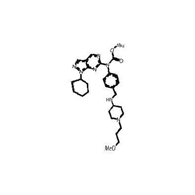 COCCCN1CCC(NCc2ccc(N(C(=O)OC(C)(C)C)c3ncc4cnn(C5CCCCC5)c4n3)cc2)CC1